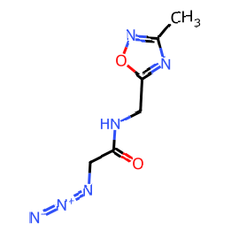 Cc1noc(CNC(=O)CN=[N+]=[N-])n1